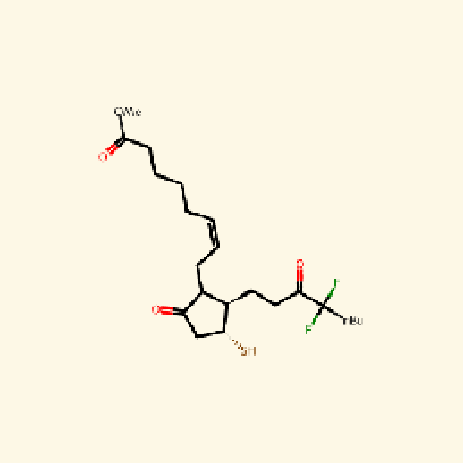 CCCCC(F)(F)C(=O)CC[C@@H]1C(C/C=C\CCCCC(=O)OC)C(=O)C[C@H]1S